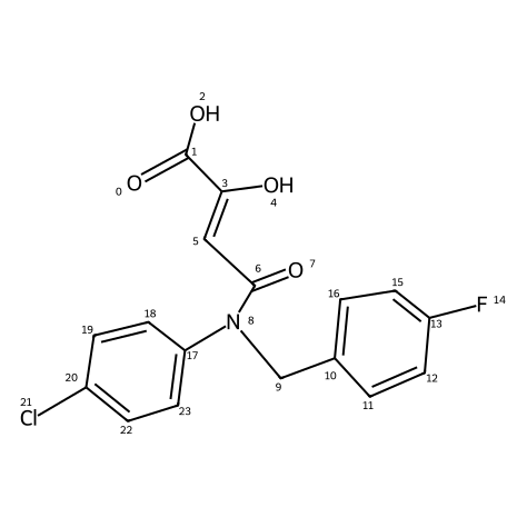 O=C(O)C(O)=CC(=O)N(Cc1ccc(F)cc1)c1ccc(Cl)cc1